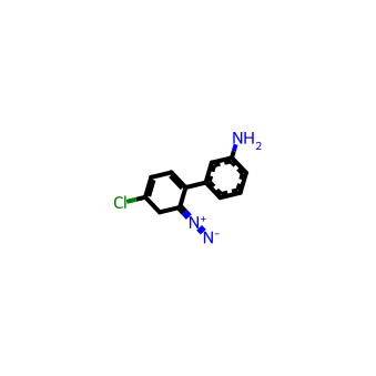 [N-]=[N+]=C1CC(Cl)=CC=C1c1cccc(N)c1